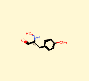 O=[C][C@H](Cc1ccc(O)cc1)NO